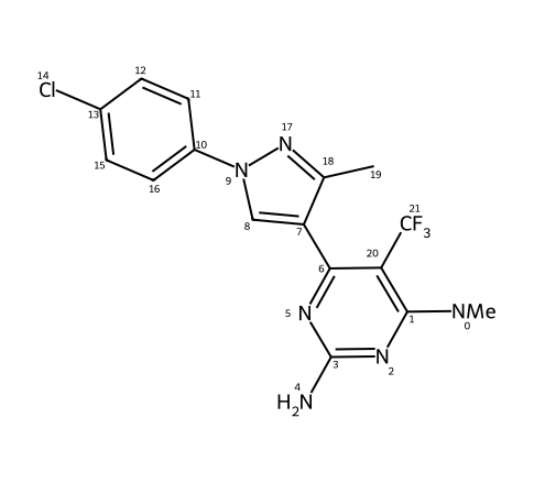 CNc1nc(N)nc(-c2cn(-c3ccc(Cl)cc3)nc2C)c1C(F)(F)F